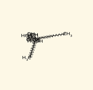 CCCCCCCCCCCCCCCCCCCC(=O)NC(CO[C@H]1O[C@H](CO)[C@H](O)[C@H](O)[C@H]1O)C(O)C(O)CCCCCCCCCCCCCC